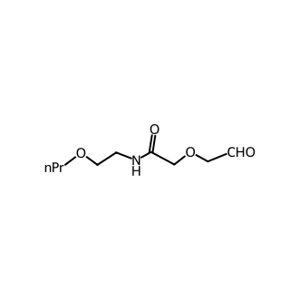 CCCOCCNC(=O)COCC=O